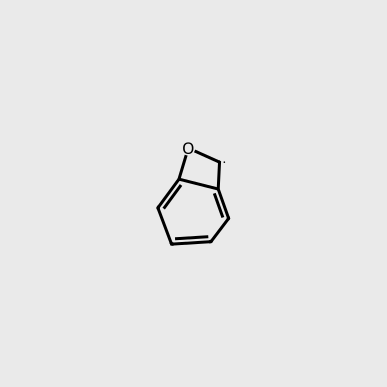 [CH]1Oc2ccccc21